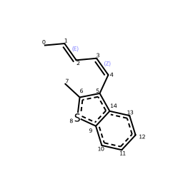 C/C=C/C=C\c1c(C)sc2ccccc12